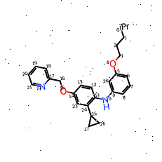 CC(C)CCCOc1cccc(Nc2ccc(OCc3ccccn3)cc2C2CC2)c1